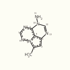 Cc1cc2c3c(ncnn13)N(N)C=N2